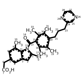 CCc1cc2cc(CC(=O)O)cc(C)c2n1C(=O)c1c(C)c(C)c(CCCc2cnccn2)c(C)c1C